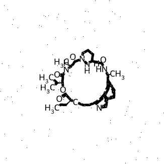 CCC[C@@H]1CCCc2cc3cc(ccc3cn2)[C@@H](C)NC(=O)[C@@H]2CCCN(N2)C(=O)[C@H](C)NC(=O)[C@H](C(C)C)OC1=O